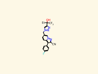 CCC(O)(c1cn(Cc2ccc3c(-c4ccc(F)cc4)c(C#N)nn3c2)nn1)C(F)(F)F